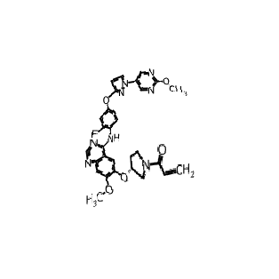 C=CC(=O)N1CC[C@@H](Oc2cc3c(Nc4ccc(Oc5ccn(-c6cnc(OC)nc6)n5)cc4F)ncnc3cc2OC)C1